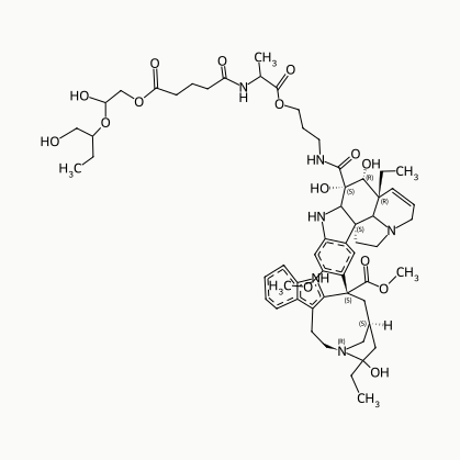 CCC(CO)OC(O)COC(=O)CCCC(=O)NC(C)C(=O)OCCCNC(=O)[C@]1(O)C2Nc3cc(OC)c([C@@]4(C(=O)OC)C[C@@H]5C[N@](CCc6c4[nH]c4ccccc64)C(O)(CC)C5)cc3[C@@]23CCN2CC=C[C@](CC)(C23)[C@H]1O